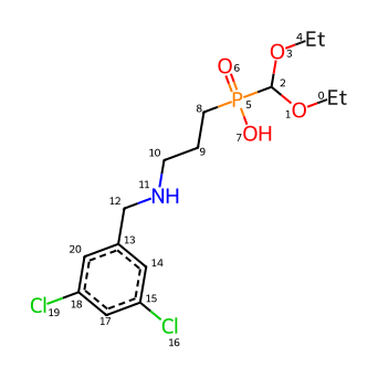 CCOC(OCC)P(=O)(O)CCCNCc1cc(Cl)cc(Cl)c1